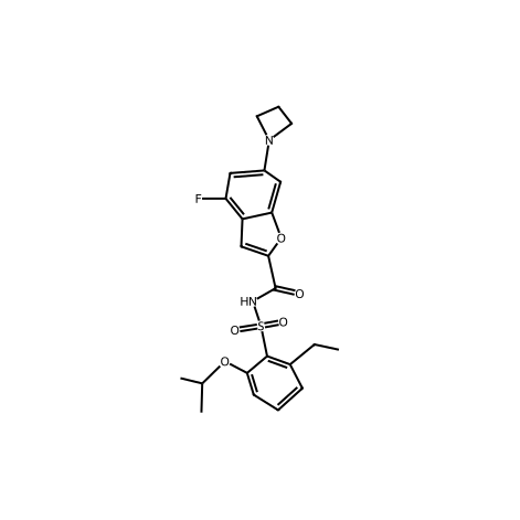 CCc1cccc(OC(C)C)c1S(=O)(=O)NC(=O)c1cc2c(F)cc(N3CCC3)cc2o1